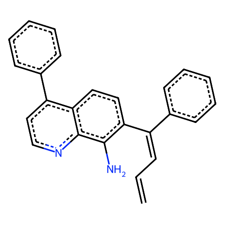 C=C/C=C(/c1ccccc1)c1ccc2c(-c3ccccc3)ccnc2c1N